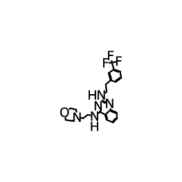 FC(F)(F)c1cccc(CCNc2nc(NCCN3CCOCC3)c3ccccc3n2)c1